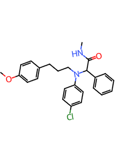 CNC(=O)C(c1ccccc1)N(CCCc1ccc(OC)cc1)c1ccc(Cl)cc1